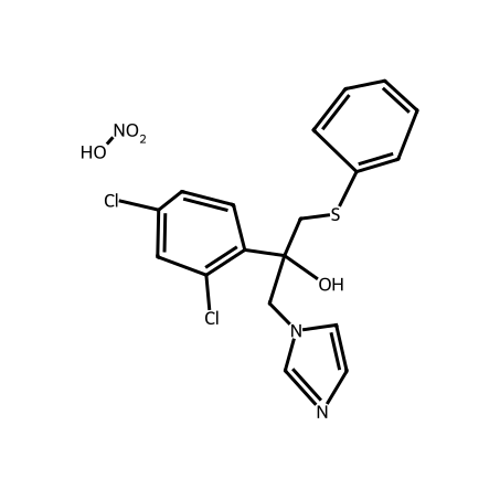 O=[N+]([O-])O.OC(CSc1ccccc1)(Cn1ccnc1)c1ccc(Cl)cc1Cl